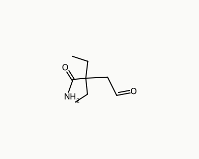 CCC(CC)(CC=O)C(N)=O